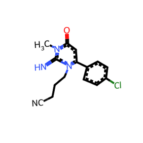 Cn1c(=O)cc(-c2ccc(Cl)cc2)n(CCCC#N)c1=N